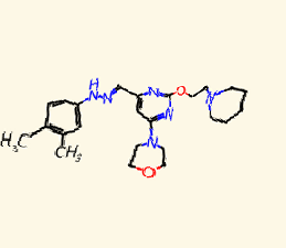 Cc1ccc(NN=Cc2cc(N3CCOCC3)nc(OCCN3CCCCC3)n2)cc1C